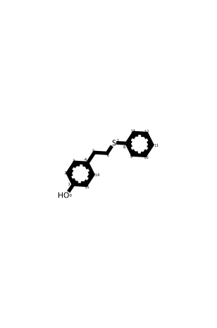 Oc1ccc(CCSc2ccccc2)cc1